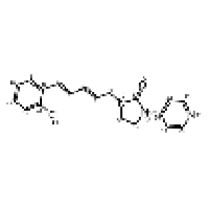 O=C1N(CC=CC=Cc2ccccc2Cl)CCN1c1ccncc1